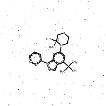 CC(C)(O)c1cc(N2CCOC[C@@]2(C)N)nc2c1cnn2-c1cccnn1